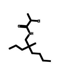 CCCCC(C)(CCC)CNC(=O)C(C)Cl